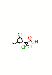 CCc1cc(Cl)cc(C2[C@@H](C(=O)O)C2(Cl)Cl)c1